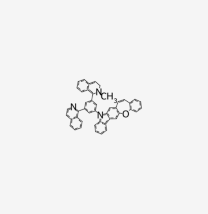 CN1CC=c2ccccc2=C1c1cc(-c2nccc3ccccc23)cc(-n2c3ccccc3c3cc4c(cc32)C=Cc2ccccc2O4)c1